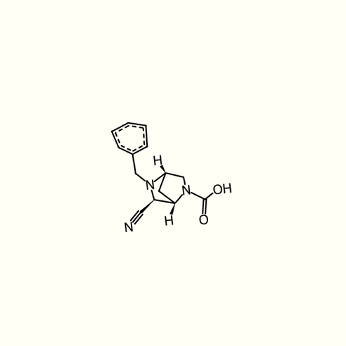 N#C[C@@H]1[C@@H]2C[C@@H](CN2C(=O)O)N1Cc1ccccc1